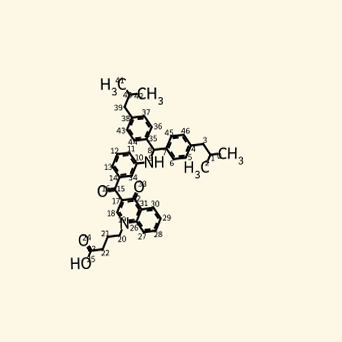 CC(C)Cc1ccc(C(Nc2cccc(C(=O)c3cn(CCCC(=O)O)c4ccccc4c3=O)c2)c2ccc(CC(C)C)cc2)cc1